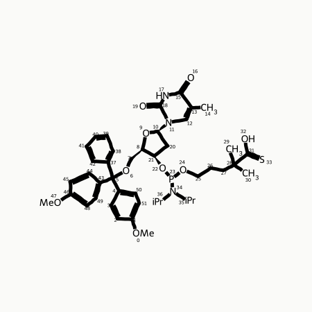 COc1ccc(C(OC[C@H]2O[C@@H](n3cc(C)c(=O)[nH]c3=O)C[C@H]2OP(OCCCC(C)(C)C(O)=S)N(C(C)C)C(C)C)(c2ccccc2)c2ccc(OC)cc2)cc1